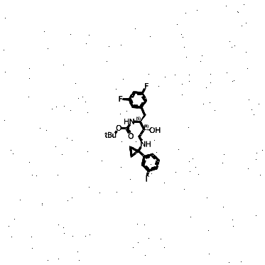 CC(C)(C)OC(=O)N[C@@H](Cc1cc(F)cc(F)c1)[C@H](O)CNC1(c2cccc(I)c2)CC1